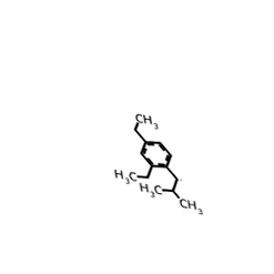 CCc1ccc([CH]C(C)C)c(CC)c1